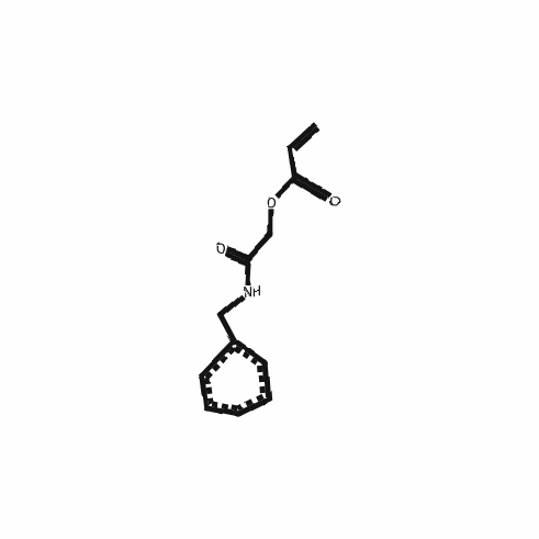 C=CC(=O)OCC(=O)NCc1ccccc1